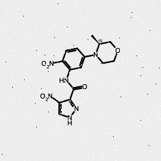 C[C@H]1COCCN1c1ccc([N+](=O)[O-])c(NC(=O)c2n[nH]cc2[N+](=O)[O-])c1